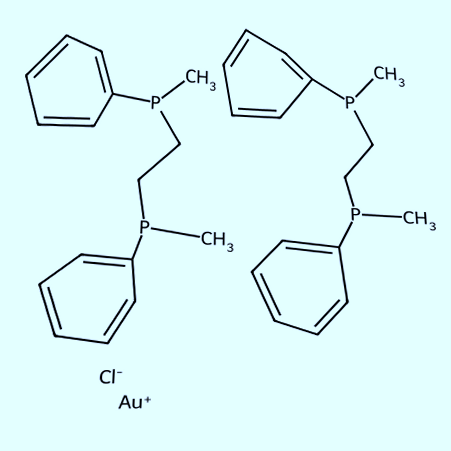 CP(CCP(C)c1ccccc1)c1ccccc1.CP(CCP(C)c1ccccc1)c1ccccc1.[Au+].[Cl-]